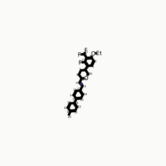 CCOc1ccc(C2CCC(/C=C/c3ccc(-c4ccc(C)cc4)cc3)OC2)c(F)c1C(F)F